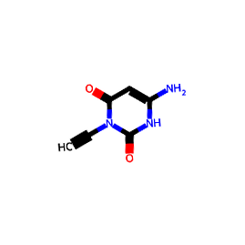 C#Cn1c(=O)cc(N)[nH]c1=O